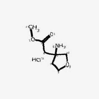 COC(=O)CC1(N)CCOC1.Cl